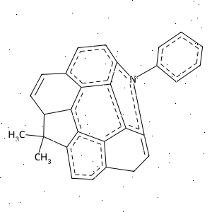 CC1(C)c2ccc3c4c2c2c5c(ccc6c5c4c(n6-c4ccccc4)=CC3)C=CC21